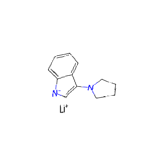 [Li+].c1ccc2c(N3CCCC3)c[n-]c2c1